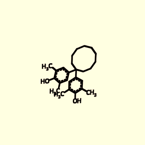 Cc1cc(C2(c3cc(C)c(O)c(C)c3)CCCCCCCCC2)cc(C)c1O